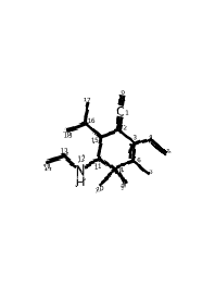 C=C=C1C(C=C)=C(C)C(C)(C)C(NCC)C1C(C)C